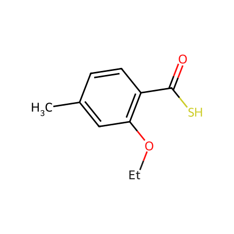 CCOc1cc(C)ccc1C(=O)S